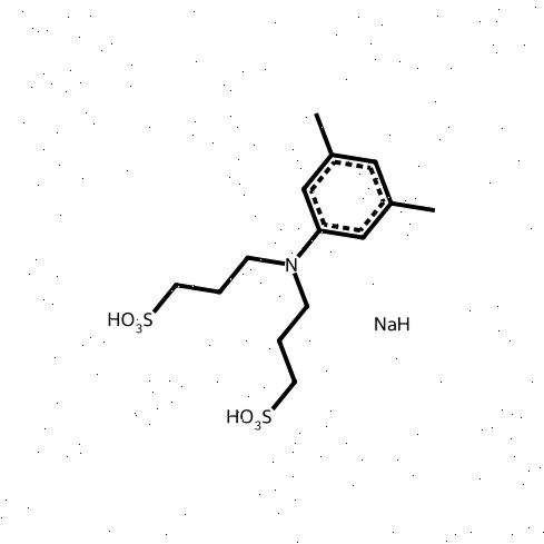 Cc1cc(C)cc(N(CCCS(=O)(=O)O)CCCS(=O)(=O)O)c1.[NaH]